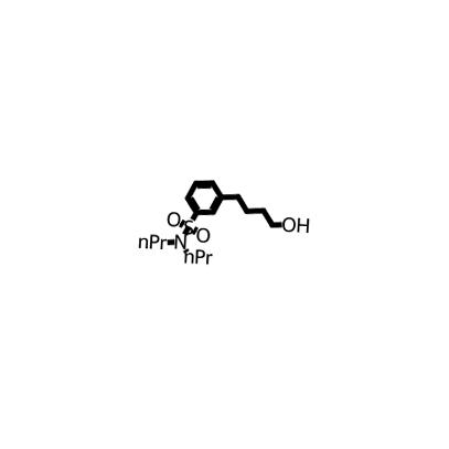 CCCN(CCC)S(=O)(=O)c1cccc(CCCCO)c1